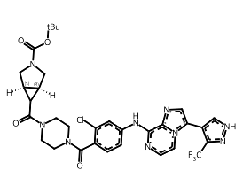 CC(C)(C)OC(=O)N1C[C@@H]2C(C(=O)N3CCN(C(=O)c4ccc(Nc5nccn6c(-c7c[nH]nc7C(F)(F)F)cnc56)cc4Cl)CC3)[C@@H]2C1